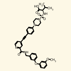 COc1cccc(Oc2cccc(CNC(=O)c3cc(C#Cc4ccc(N5CCN(S(=O)(=O)N[C@@H](C(=O)O)C(C)C)CC5)cc4)ccn3)c2)c1